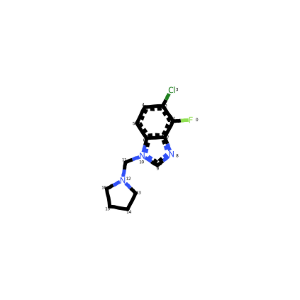 Fc1c(Cl)ccc2c1ncn2CN1CCCC1